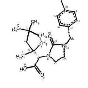 CC(C)(C)CC(C)(C)[C@@H](C(=O)O)N1CCN(Cc2ccc(O)cc2)C1=O